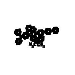 CC1(C)c2ccccc2-c2c(N(c3ccc(-c4ccc(-c5ccccc5)cc4)cc3)c3ccc4cccc5c4c3Oc3ccc(N(c4ccccc4)c4ccccc4)cc3-5)cccc21